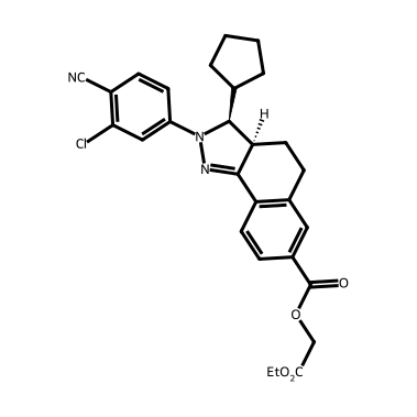 CCOC(=O)COC(=O)c1ccc2c(c1)CC[C@H]1C2=NN(c2ccc(C#N)c(Cl)c2)[C@H]1C1CCCC1